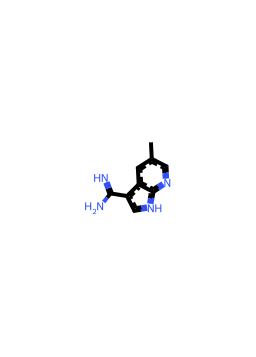 Cc1cnc2[nH]cc(C(=N)N)c2c1